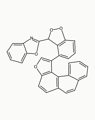 c1cc2c(c(-c3coc4ccc5ccc6ccccc6c5c34)c1)C(c1nc3ccccc3o1)OO2